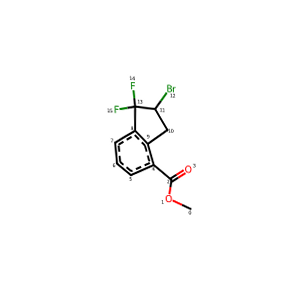 COC(=O)c1cccc2c1CC(Br)C2(F)F